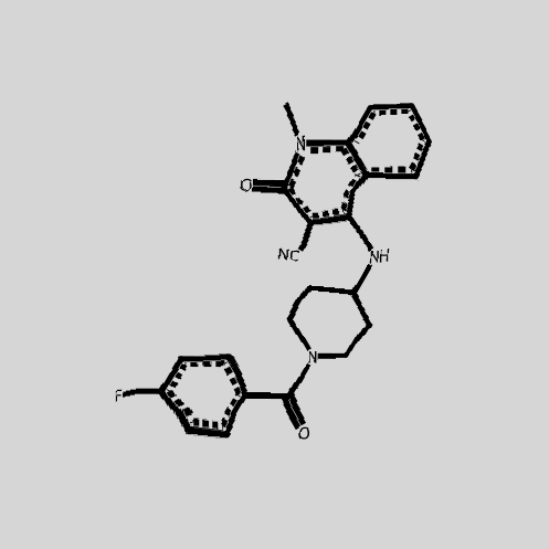 Cn1c(=O)c(C#N)c(NC2CCN(C(=O)c3ccc(F)cc3)CC2)c2ccccc21